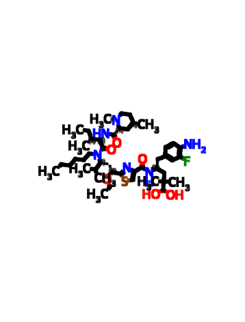 CCCCCCN(C(=O)[C@@H](NC(=O)[C@H]1C[C@H](C)CCN1C)[C@@H](C)CC)[C@H](C[C@@H](OCC)c1nc(C(=O)N[C@@H](Cc2ccc(N)c(F)c2)CC(C)(C)C(O)O)cs1)C(C)C